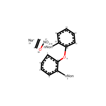 C=C.CCCCCCCCCc1ccccc1Oc1ccccc1CCCCCCCCC.O=[N+]([O-])[O-].[Na+]